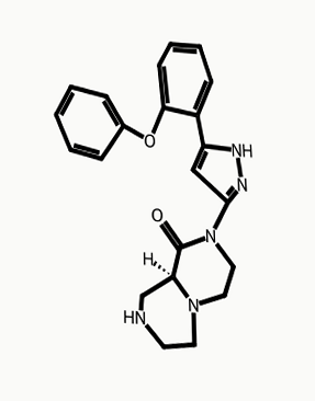 O=C1[C@@H]2CNCCN2CCN1c1cc(-c2ccccc2Oc2ccccc2)[nH]n1